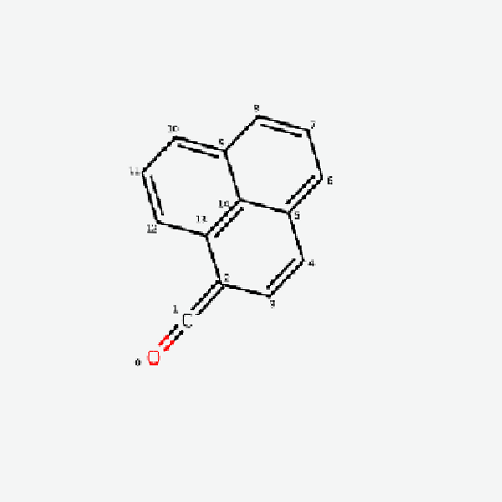 O=C=c1ccc2cccc3cccc1c32